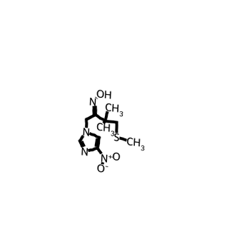 CSCC(C)(C)/C(Cn1cnc([N+](=O)[O-])c1)=N\O